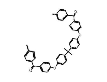 Cc1ccc(C(=O)c2ccc(Oc3ccc(C(C)(C)c4ccc(Oc5ccc(C(=O)c6ccc(C)cc6)cc5)cc4)cc3)cc2)cc1